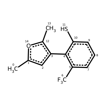 Cc1cc(-c2c(C(F)(F)F)[c]ccc2S)c(C)o1